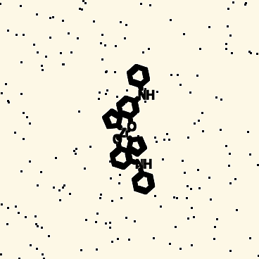 C1=C[CH]([Zr]([O]c2cccc(Nc3ccccc3)c2)([O]c2cccc(Nc3ccccc3)c2)[CH]2C=CC=C2)C=C1